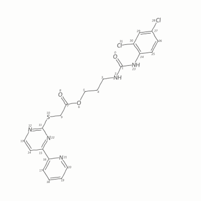 O=C(NCCCOC(=O)CSc1nccc(-c2ccccn2)n1)Nc1ccc(Cl)cc1Cl